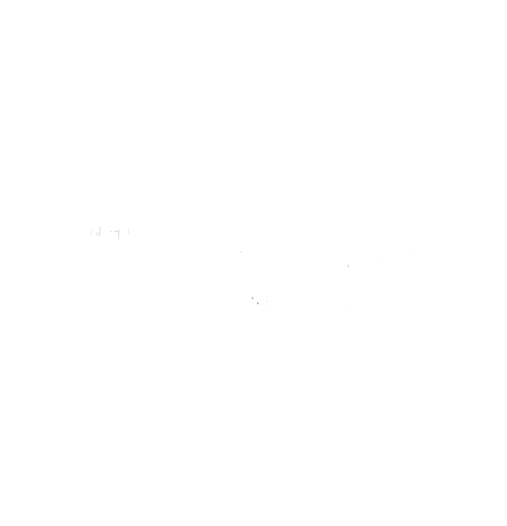 CCCCCCCCCCCCCCC(Br)C(=O)[O-].[Na+]